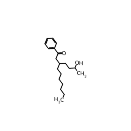 CCCCCCCC(CCC(C)O)CC(=O)c1ccccc1